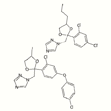 CC1COC(Cn2cncn2)(c2ccc(Oc3ccc(Cl)cc3)cc2Cl)O1.CCCC1COC(Cn2cncn2)(c2ccc(Cl)cc2Cl)O1